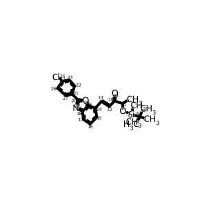 CC(O[Si](C)(C)C(C)(C)C)C(=O)C=Cc1cccc2nc(-c3ccc(Cl)cc3)oc12